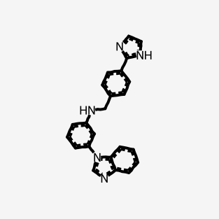 c1cc(NCc2ccc(-c3ncc[nH]3)cc2)cc(-n2cnc3ccccc32)c1